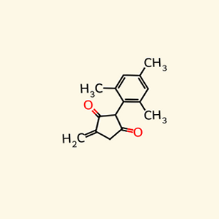 C=C1CC(=O)C(c2c(C)cc(C)cc2C)C1=O